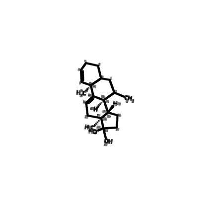 CC1CC2CCC=C[C@]2(C)C2=CC[C@@]3(C)[C@@H](CCC3(O)O)[C@@H]21